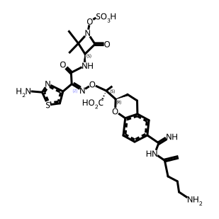 C=C(CCCN)NC(=N)c1ccc2c(c1)CC[C@H]([C@](C)(O/N=C(\C(=O)N[C@@H]1C(=O)N(OS(=O)(=O)O)C1(C)C)c1csc(N)n1)C(=O)O)O2